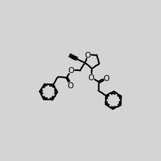 C#CC1(COC(=O)Cc2ccccc2)OCCC1OC(=O)Cc1ccccc1